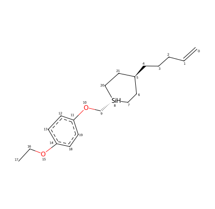 C=CCCC[C@H]1CC[Si@H](COc2ccc(OCC)cc2)CC1